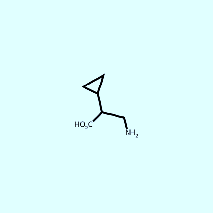 NCC(C(=O)O)C1CC1